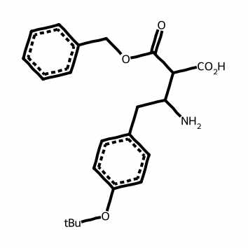 CC(C)(C)Oc1ccc(CC(N)C(C(=O)O)C(=O)OCc2ccccc2)cc1